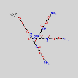 NCCOCCOCCC(=O)NCCCC[C@H](NC(=O)CCCNC(=O)CCOCCOCCN)C(=O)N[C@@H](CCCCNC(=O)CCOCCOCCN)C(=O)NCCOCCOCCOCCOCCC(=O)O